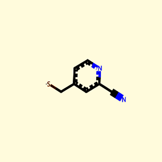 N#Cc1cc(C[S])ccn1